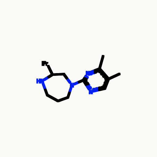 Cc1cnc(N2CCCNC(C(C)C)C2)nc1C